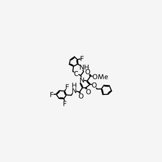 COC(=O)c1c(OCc2ccccc2)c(=O)c(C(=O)NCc2c(F)cc(F)cc2F)cn1C1CCc2cccc(F)c2NC1